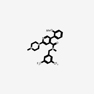 COc1ccccc1-c1cnc(N2CCN(C)CC2)cc1C(=O)N(C)Cc1cc(C(F)(F)F)cc(C(F)(F)F)c1